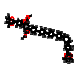 COCOC1(c2ccc(B3OC(C)(C)C(C)(C)O3)cc2)CCC(OCOC)(c2ccc(-c3ccc(-c4ccc(-c5ccc(C6(C)CCC(C)(c7ccc(B8OC(C)(C)C(C)(C)O8)cc7)CC6)cc5)cc4)cc3)cc2)CC1